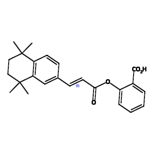 CC1(C)CCC(C)(C)c2cc(/C=C/C(=O)Oc3ccccc3C(=O)O)ccc21